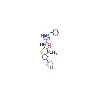 CN1C(=O)[C@@H](NC(=O)c2n[nH]c(Cc3ccccc3)n2)CSc2ccc(N3CCOCC3)cc21